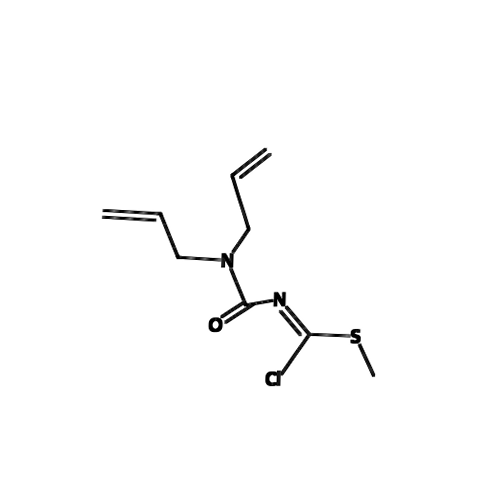 C=CCN(CC=C)C(=O)/N=C(\Cl)SC